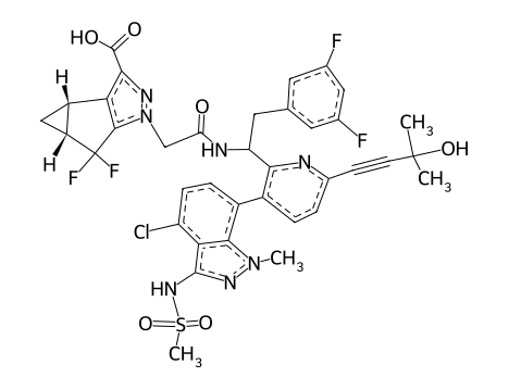 Cn1nc(NS(C)(=O)=O)c2c(Cl)ccc(-c3ccc(C#CC(C)(C)O)nc3C(Cc3cc(F)cc(F)c3)NC(=O)Cn3nc(C(=O)O)c4c3C(F)(F)[C@@H]3C[C@H]43)c21